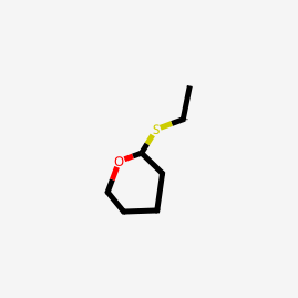 C[CH]SC1CCCCO1